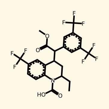 CCC1CC(C(C(=O)OC)c2cc(C(F)(F)F)cc(C(F)(F)F)c2)c2cc(C(F)(F)F)ccc2N1C(=O)O